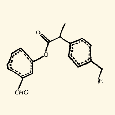 CC(C)Cc1ccc(C(C)C(=O)Oc2cccc(C=O)c2)cc1